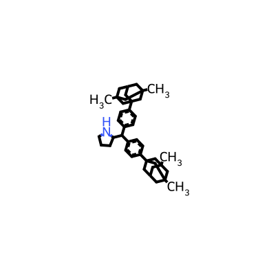 CC12CC3CC(C)(C1)CC(c1ccc(C(c4ccc(C56CC7CC(C)(CC(C)(C7)C5)C6)cc4)C4CCCN4)cc1)(C3)C2